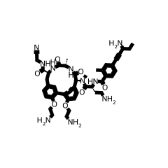 CCC(N)C#Cc1ccc(C(=O)N[C@H](CCN)C(=O)N(C)[C@@H]2C(=O)N[C@@H](C)C(=O)N[C@H](C(=O)NCC#N)Cc3ccc(OCCN)c(c3)-c3cc2ccc3OCCN)c(C)c1